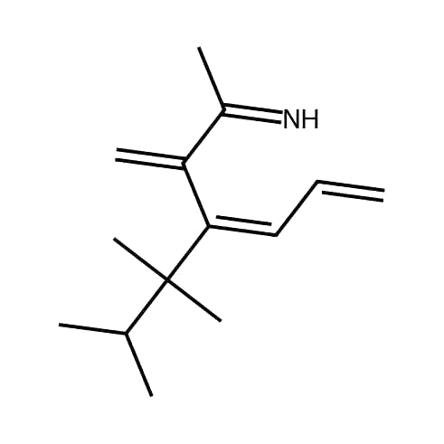 C=C/C=C(\C(=C)C(C)=N)C(C)(C)C(C)C